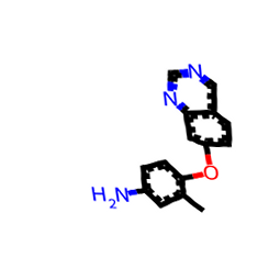 Cc1cc(N)ccc1Oc1ccc2cncnc2c1